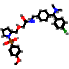 COc1ccc(S(=O)(=O)N2CCCC2COCC(=O)NCC2CCC(C(c3ccc(F)cc3)N(C)C)CC2)cc1